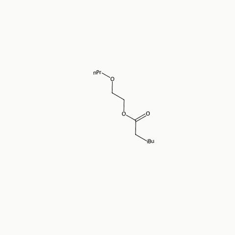 CCCOCCOC(=O)CC(C)CC